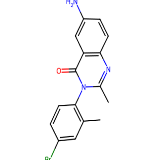 Cc1cc(Br)ccc1-n1c(C)nc2ccc(N)cc2c1=O